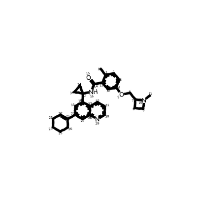 Cc1ccc(OCC2CCN2C)cc1C(=O)NC1(c2cc(C3=CCCCC3)cc3ncccc23)CC1